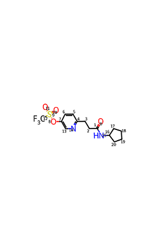 O=C(CCc1ccc(OS(=O)(=O)C(F)(F)F)cn1)NC1CCCC1